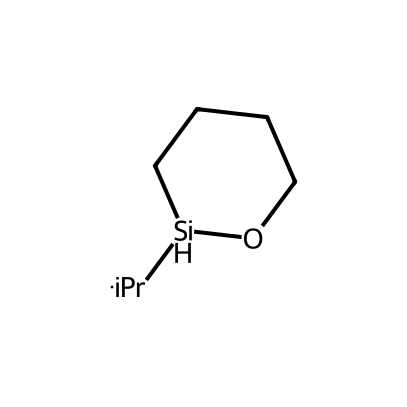 C[C](C)[SiH]1CCCCO1